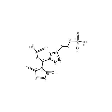 O=C(O)CC(c1cn(CCCS(=O)(=O)O)nn1)N1C(=O)C=CC1=O